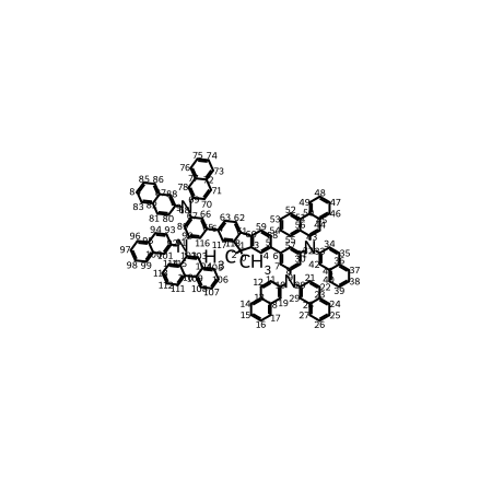 CC1(C)c2cc(-c3cc(N(c4ccc5ccccc5c4)c4ccc5ccccc5c4)cc(N(c4ccc5ccccc5c4)c4cc5ccccc5c5ccccc45)c3)ccc2-c2ccc(-c3cc(N(c4ccc5ccccc5c4)c4ccc5ccccc5c4)cc(N(c4ccc5ccccc5c4)c4cc5ccccc5c5ccccc45)c3)cc21